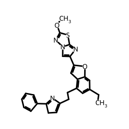 CCc1cc(CCC2=CCC(c3ccccc3)=N2)c2cc(-c3cn4nc(OC)sc4n3)oc2c1